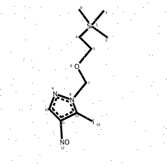 C[Si](C)(C)CCOCn1ncc(N=O)c1I